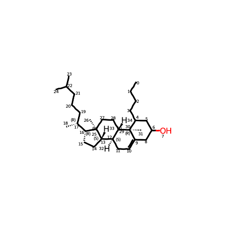 CCCCC1CC(O)CC2=CC[C@H]3[C@@H]4CC[C@H]([C@H](C)CCCC(C)C)[C@@]4(C)CC[C@@H]3[C@]21C